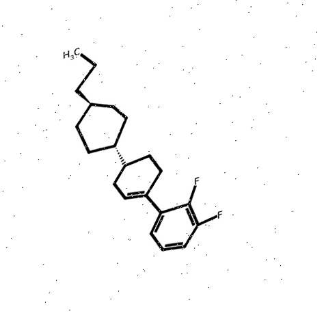 CCC[C@H]1CC[C@H](C2CC=C(c3cccc(F)c3F)CC2)CC1